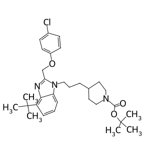 CC(C)(C)OC(=O)N1CCC(CCCn2c(COc3ccc(Cl)cc3)nc3c(C(C)(C)C)cccc32)CC1